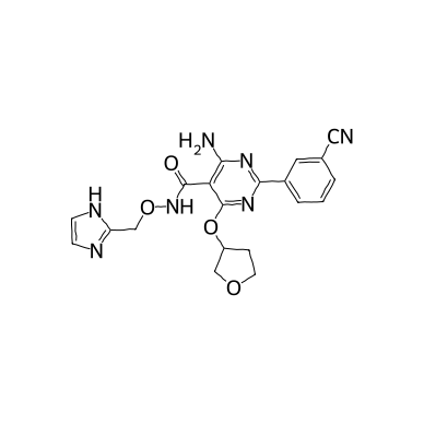 N#Cc1cccc(-c2nc(N)c(C(=O)NOCc3ncc[nH]3)c(OC3CCOC3)n2)c1